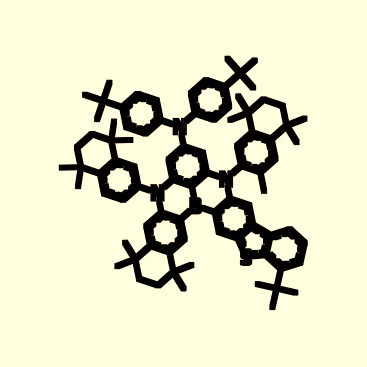 Cc1cc2c(cc1N1c3cc4c(cc3B3c5cc6c(cc5N(c5ccc7c(c5)C(C)(C)CCC7(C)C)c5cc(N(c7ccc(C(C)(C)C)cc7)c7ccc(C(C)(C)C)cc7)cc1c53)C(C)(C)CCC6(C)C)sc1c(C(C)(C)C)cccc14)C(C)(C)CCC2(C)C